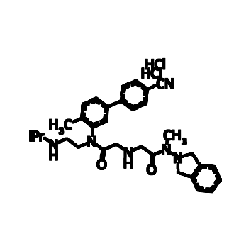 Cc1ccc(-c2ccc(C#N)cc2)cc1N(CCNC(C)C)C(=O)CNCC(=O)N(C)N1Cc2ccccc2C1.Cl.Cl